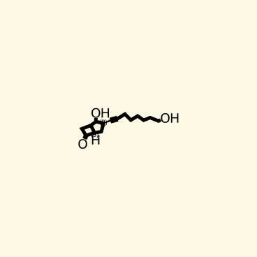 O=C1CC2C(O)[C@@H](C#CCCCCCCO)C[C@H]12